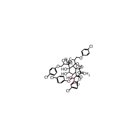 CC(COc1ccc(Cl)cc1)C(=O)[C@@]1(O)[C@](O)(C(=O)C(C)COc2ccc(Cl)cc2)[C@@](O)(C(=O)C(C)COc2ccc(Cl)cc2)[C@@H](O)[C@@H](O)[C@]1(O)C(=O)C(C)COc1ccc(Cl)cc1